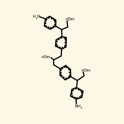 CCCCCCCCCCCC(c1ccc(N)cc1)c1ccc(CC(CCCCCCCCCC)Cc2ccc(C(CCCCCCCCCCC)c3ccc(N)cc3)cc2)cc1